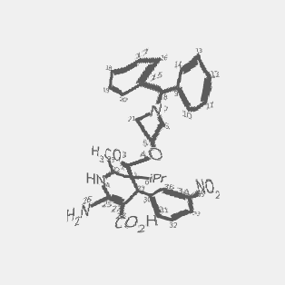 CC(C)C1(C(=O)OC2CN(C(c3ccccc3)c3ccccc3)C2)C(C)NC(N)=C(C(=O)O)C1c1cccc([N+](=O)[O-])c1